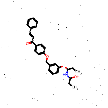 CCC(O)NC(CC)Oc1cccc(COc2ccc(C(=O)/C=C/c3ccccc3)cc2)c1